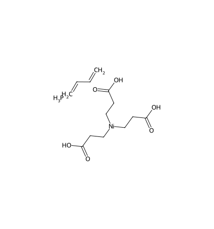 C=CC=C.O=C(O)C[CH2][Ni]([CH2]CC(=O)O)[CH2]CC(=O)O.P